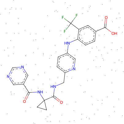 O=C(O)c1ccc(Nc2ccc(CNC(=O)C3(NC(=O)c4cncnc4)CC3)nc2)c(C(F)(F)F)c1